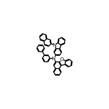 c1ccc(-c2cccc(N(c3ccc4c5ccccc5n(-c5ccc6ccccc6c5)c4c3)c3cc4ccccc4c4c3oc3ccccc34)c2)cc1